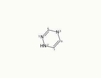 C1=CNN=C[N]1